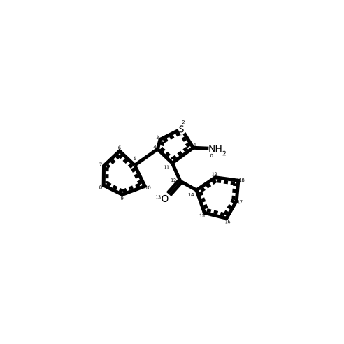 Nc1scc(-c2ccccc2)c1C(=O)c1ccccc1